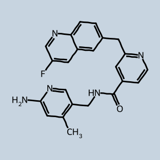 Cc1cc(N)ncc1CNC(=O)c1ccnc(Cc2ccc3ncc(F)cc3c2)c1